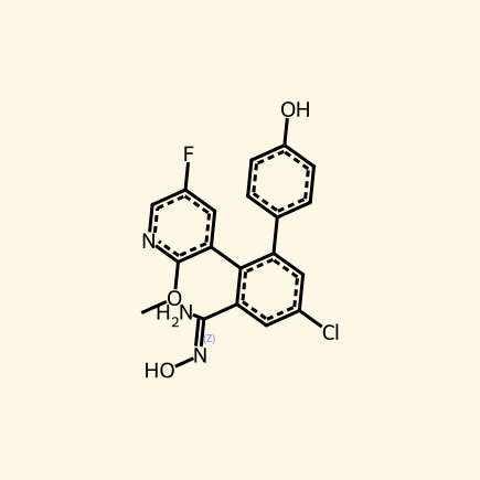 COc1ncc(F)cc1-c1c(/C(N)=N/O)cc(Cl)cc1-c1ccc(O)cc1